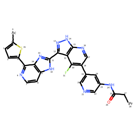 CC(=O)c1ccc(-c2nccc3[nH]c(-c4n[nH]c5ncc(-c6cncc(NC(=O)CC(C)C)c6)c(F)c45)nc23)s1